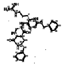 CC(C)C[C@H](NC(=O)[C@H](CCCNC(=N)N)NC(=O)OCc1ccccc1)C(=O)N1CC(=O)N[C@@H](Cc2ccccc2)C1